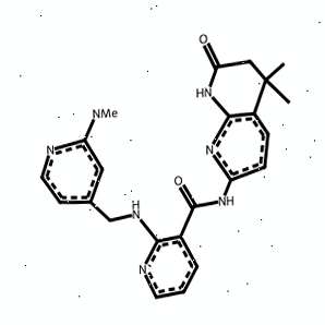 CNc1cc(CNc2ncccc2C(=O)Nc2ccc3c(n2)NC(=O)CC3(C)C)ccn1